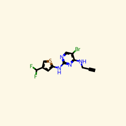 C#CCNc1nc(Nc2cc(C(F)F)cs2)ncc1Br